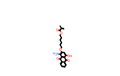 C=C(C)C(=O)OCCCCCCOc1cc(O)c2c(c1N)C(=O)c1ccccc1C2=O